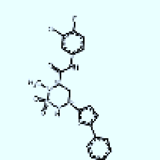 CN1[C@@H](C(=O)Nc2ccc(F)c(Cl)c2)C[C@@H](c2ccc(-c3ccccc3)s2)NS1(=O)=O